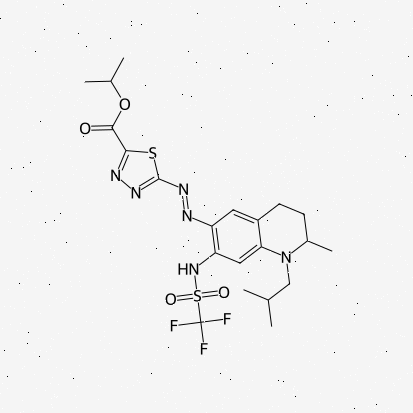 CC(C)CN1c2cc(NS(=O)(=O)C(F)(F)F)c(N=Nc3nnc(C(=O)OC(C)C)s3)cc2CCC1C